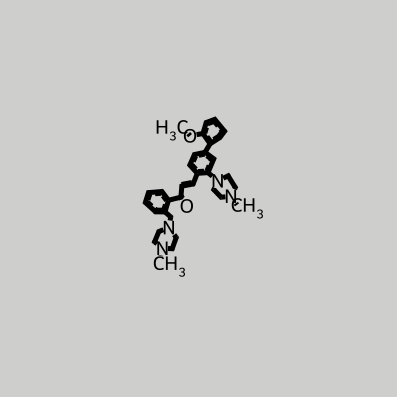 COc1ccccc1-c1ccc(C=CC(=O)c2ccccc2CN2CCN(C)CC2)c(N2CCN(C)CC2)c1